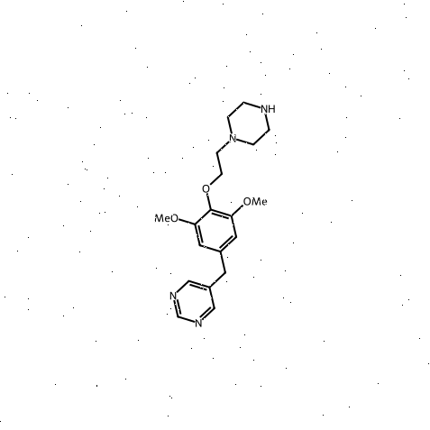 COc1cc(Cc2cncnc2)cc(OC)c1OCCN1CCNCC1